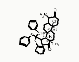 C[C@]12CCC(=O)C(N)C1CC[C@@H]1[C@H]2CC[C@]2(C)C(=O)CC(C(Sc3ccccc3)(Sc3ccccc3)Sc3ccccc3)[C@@H]12